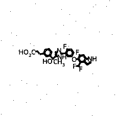 CC(O)(c1cccc(CCC(=O)O)c1)c1cnc(-c2cc(Oc3c(F)cc4[nH]ccc4c3C(F)F)ccc2F)[nH]1